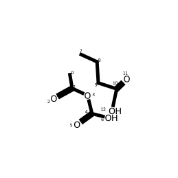 CC(=O)OC(=O)O.CCCC(=O)O